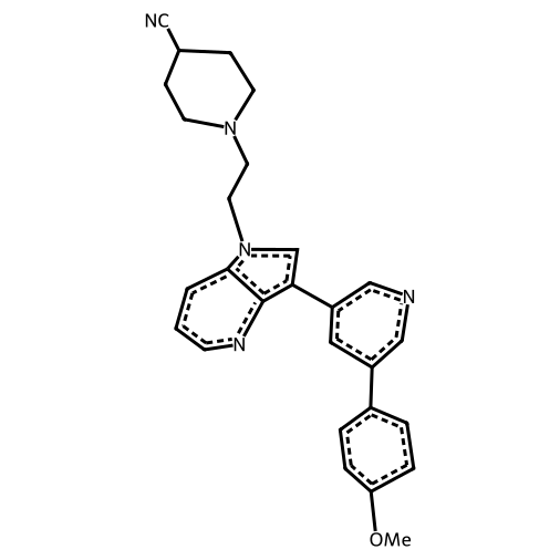 COc1ccc(-c2cncc(-c3cn(CCN4CCC(C#N)CC4)c4cccnc34)c2)cc1